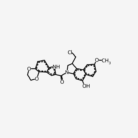 COc1ccc2c(O)cc3c(c2c1)C(CCl)CN3C(=O)c1cc2c3c(ccc2[nH]1)OCCO3